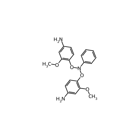 COc1cc(N)ccc1ON(Oc1ccc(N)cc1OC)c1ccccc1